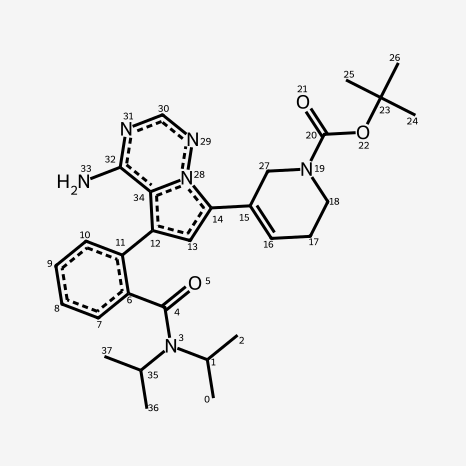 CC(C)N(C(=O)c1ccccc1-c1cc(C2=CCCN(C(=O)OC(C)(C)C)C2)n2ncnc(N)c12)C(C)C